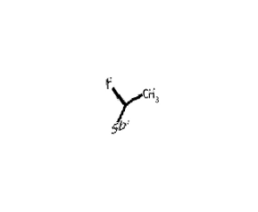 C[CH](F)[Sb]